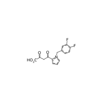 O=C(O)C(=O)CC(=O)c1cccn1Cc1ccc(F)c(F)c1